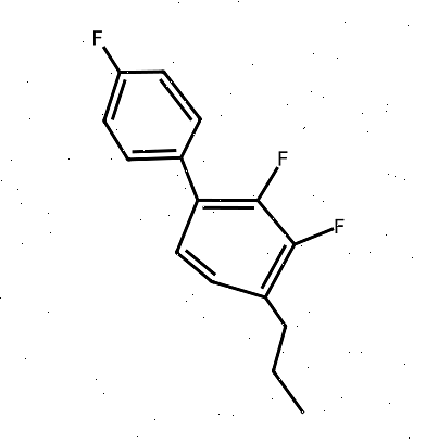 CCCc1ccc(-c2ccc(F)cc2)c(F)c1F